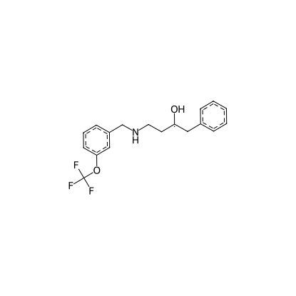 O[C](CCNCc1cccc(OC(F)(F)F)c1)Cc1ccccc1